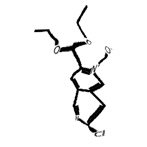 CCOC(OCC)c1cc2cnc(Cl)cc2c[n+]1[O-]